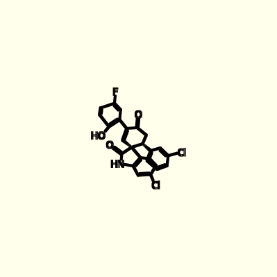 O=C1C[C@@H](c2cccc(Cl)c2)[C@@]2(C=C1c1cc(F)ccc1O)C(=O)Nc1cc(Cl)ccc12